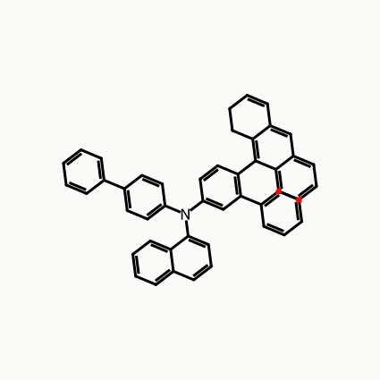 C1=Cc2cc3ccccc3c(-c3ccc(N(c4ccc(-c5ccccc5)cc4)c4cccc5ccccc45)cc3-c3ccccc3)c2CC1